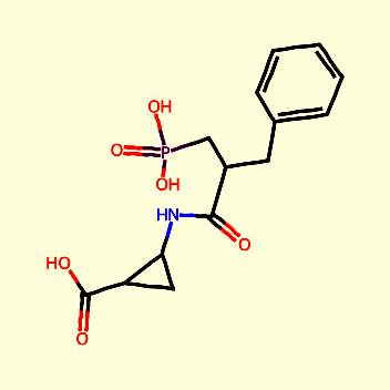 O=C(NC1CC1C(=O)O)C(Cc1ccccc1)CP(=O)(O)O